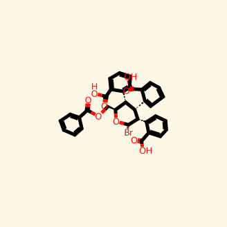 O=C(OC[C@@H]1O[C@H](Br)[C@@H](c2ccccc2C(=O)O)[C@@H](c2ccccc2C(=O)O)[C@H]1c1ccccc1C(=O)O)c1ccccc1